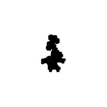 CCC(C)COc1ccc(-c2cc(OCC(C)CC)c(OCC(C)CC)cc2P(=O)(c2ccccc2)c2cc(OCC(C)CC)c(OCC(CC)Cc3cccc(P(=O)(c4ccccc4)c4ccc(P(=O)(c5ccccc5)c5ccccc5)cc4)c3)cc2-c2ccc(OCC(C)CC)c(OCC(C)CC)c2)cc1OCC(C)CC